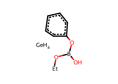 CCOB(O)Oc1ccccc1.[GeH4]